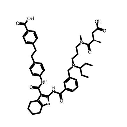 CCC(CC)N(CCCN(C)C(=O)[C@H](C)CC(=O)O)Cc1cccc(C(=O)Nc2sc3c(c2C(=O)Nc2ccc(CCc4ccc(C(=O)O)cc4)cc2)CCCC3)c1